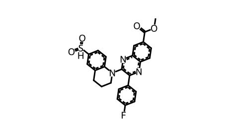 COC(=O)c1ccc2nc(-c3ccc(F)cc3)c(N3CCCc4cc([SH](=O)=O)ccc43)nc2c1